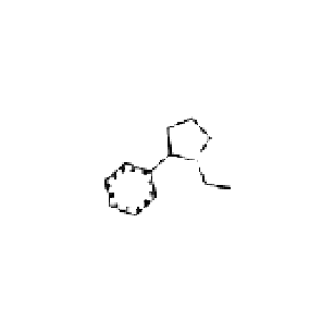 CCN1CCCC1c1c[c]ccc1